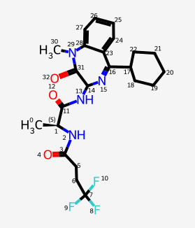 C[C@H](NC(=O)CCC(F)(F)F)C(=O)NC1N=C(C2CCCCC2)c2ccccc2N(C)C1=O